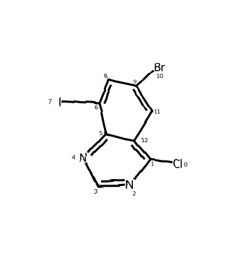 Clc1ncnc2c(I)cc(Br)cc12